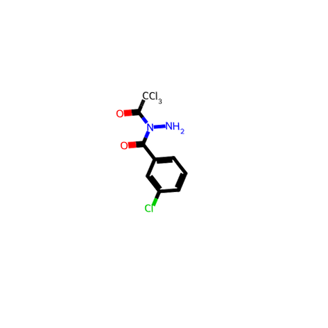 NN(C(=O)c1cccc(Cl)c1)C(=O)C(Cl)(Cl)Cl